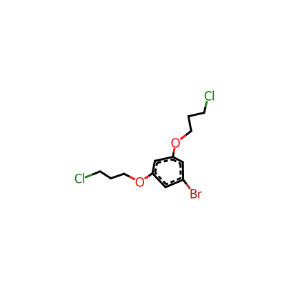 ClCCCOc1cc(Br)cc(OCCCCl)c1